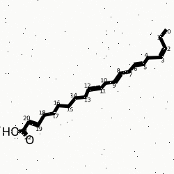 CC/C=C\C/C=C/C/C=C/C/C=C/CCCCCCC=CC(=O)O